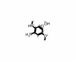 CNc1ccc(OC)cc1N.Cl.Cl